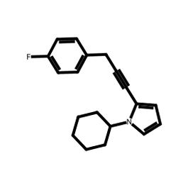 Fc1ccc(CC#Cc2cccn2C2CCCCC2)cc1